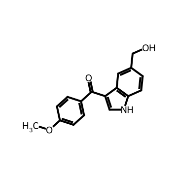 COc1ccc(C(=O)c2c[nH]c3ccc(CO)cc23)cc1